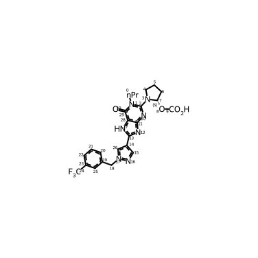 CCCn1c(N2CCC[C@@H]2OC(=O)O)nc2nc(-c3cnn(Cc4cccc(C(F)(F)F)c4)c3)[nH]c2c1=O